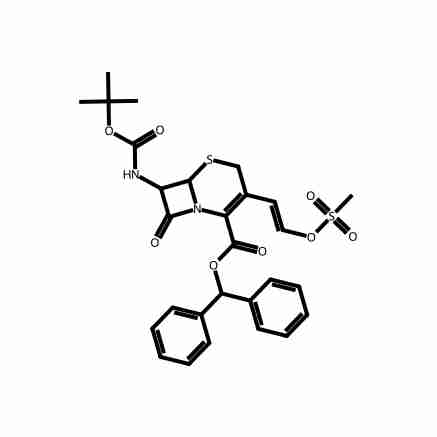 CC(C)(C)OC(=O)NC1C(=O)N2C(C(=O)OC(c3ccccc3)c3ccccc3)=C(C=COS(C)(=O)=O)CSC12